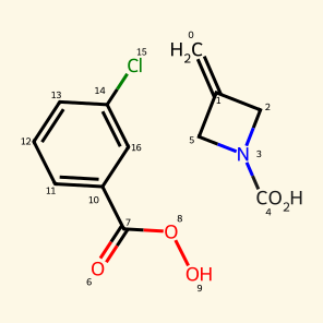 C=C1CN(C(=O)O)C1.O=C(OO)c1cccc(Cl)c1